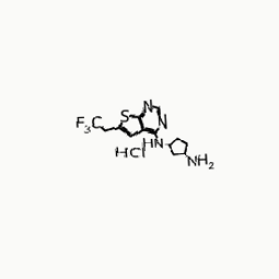 Cl.N[C@@H]1CC[C@@H](Nc2ncnc3sc(CC(F)(F)F)cc23)C1